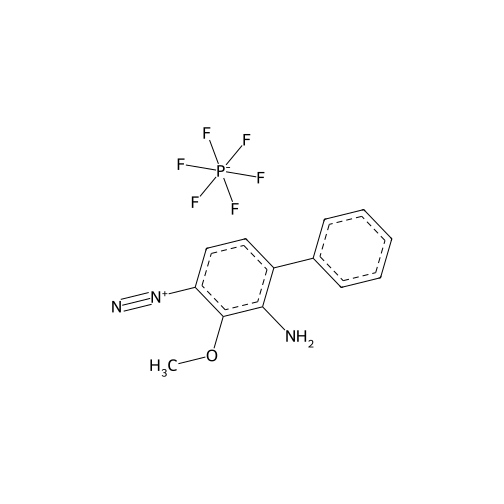 COc1c([N+]#N)ccc(-c2ccccc2)c1N.F[P-](F)(F)(F)(F)F